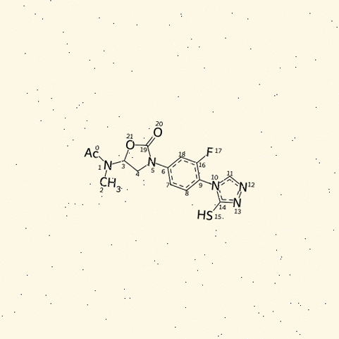 CC(=O)N(C)C1CN(c2ccc(-n3cnnc3S)c(F)c2)C(=O)O1